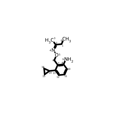 CCC(C)=NOCc1c(N)cccc1C1CC1